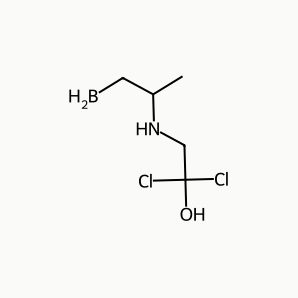 BCC(C)NCC(O)(Cl)Cl